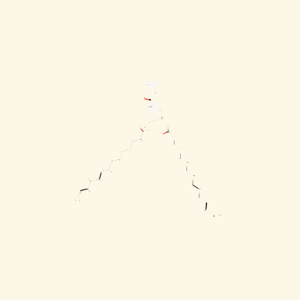 CCCCCC=CCC=CCCCCCCCC(=O)O[C@@H]1CN(C(=O)CN(C)C)C[C@H]1OC(=O)CCCCCCCC=CCC=CCCCCC